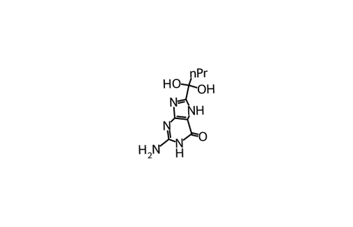 CCCC(O)(O)c1nc2nc(N)[nH]c(=O)c2[nH]1